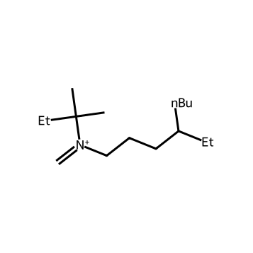 C=[N+](CCCC(CC)CCCC)C(C)(C)CC